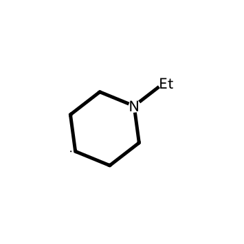 CCN1CC[CH]CC1